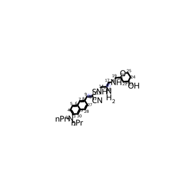 CCCN(CCC)c1ccc2cc(/C=C(\C#N)SNC/C(N)=C/NCC3CC(O)CCO3)ccc2c1